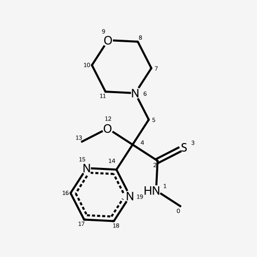 CNC(=S)C(CN1CCOCC1)(OC)c1ncccn1